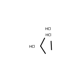 CC.CCC.Cl.Cl.Cl